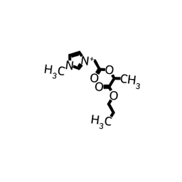 CCCOC(=O)C(C)OC(=O)C[n+]1ccn(C)c1